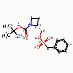 CC(C)(C)OC(=O)N1CC[C@@H]1COS(=O)(=O)Cc1ccccc1